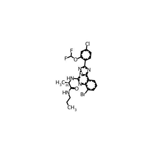 CCCNC(=O)[C@@H](C)Nc1nc2c(Br)cccc2c2nc(-c3ccc(Cl)cc3OC(F)F)nn12